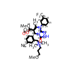 COCCC[N+](C)(C)Cc1cc(C#N)ccc1[C@@H]1C(C(=O)OC)=C(C)N(c2cccc(C(F)(F)F)c2)c2n[nH]c(=O)n21.O=C[O-]